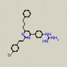 N=C(N)Nc1ccc(-c2cc(CCCc3ccccc3)nc(C=Cc3ccc(Br)cc3)n2)cc1